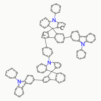 c1ccc(N2c3ccccc3C3(c4cc(-c5ccc6c7ccccc7n(-c7ccccc7)c6c5)ccc4-c4c(-c5ccc(N6c7ccccc7C7(c8ccccc8-c8ccc(-c9ccc%10c(c9)c9ccccc9n%10-c9ccccc9)cc87)c7ccccc76)cc5)cccc43)c3ccccc32)cc1